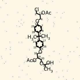 CC(=O)O[C@@H](CCl)COc1ccc(C(C)(C)c2ccc(OC[C@@H](COC(C)O)OC(C)=O)cc2)cc1